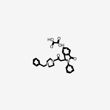 O=C(CC1c2ccccc2C(=O)N1c1ccccc1)N1CCN(Cc2ccccc2)CC1.O=C(O)C(=O)O